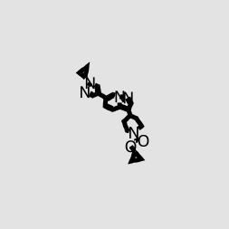 O=C(OC1CC1)N1CCC(c2cnn3cc(-c4cnn(C5CC5)c4)ccc23)CC1